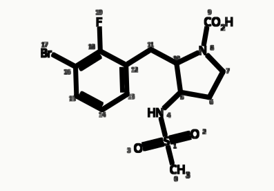 CS(=O)(=O)NC1CCN(C(=O)O)C1Cc1cccc(Br)c1F